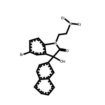 CCN(CC)CCN1C(=O)C(O)(c2ccc3ccccc3c2)c2cc(Br)ccc21